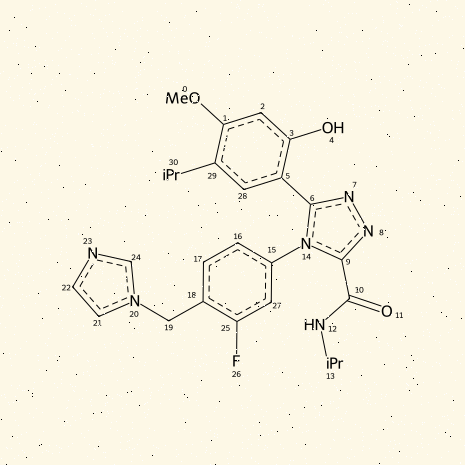 COc1cc(O)c(-c2nnc(C(=O)NC(C)C)n2-c2ccc(Cn3ccnc3)c(F)c2)cc1C(C)C